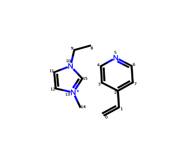 C=Cc1ccncc1.CCn1cc[n+](C)c1